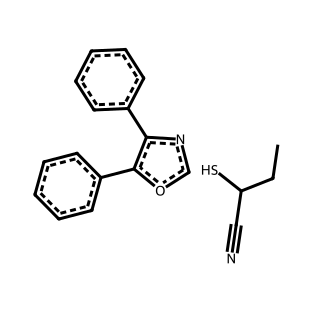 CCC(S)C#N.c1ccc(-c2ncoc2-c2ccccc2)cc1